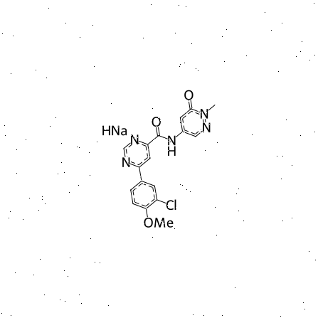 COc1ccc(-c2cc(C(=O)Nc3cnn(C)c(=O)c3)ncn2)cc1Cl.[NaH]